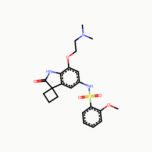 COc1ccccc1S(=O)(=O)Nc1cc(OCCN(C)C)c2c(c1)C1(CCC1)C(=O)N2